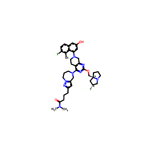 CCc1c(F)ccc2cc(O)cc(N3CCc4c(nc(OC[C@@]56CCCN5C[C@H](F)C6)nc4N4CCCn5nc(CCCC(=O)N(C)C)cc5C4)C3)c12